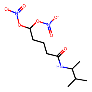 CC(C)C(C)NC(=O)CCCC(O[N+](=O)[O-])O[N+](=O)[O-]